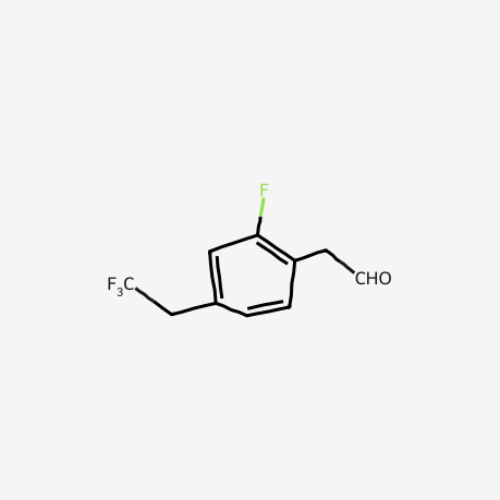 O=CCc1ccc(CC(F)(F)F)cc1F